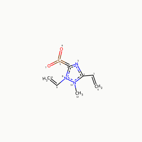 C=Cc1nc(=S(=O)=O)n(C=C)n1C